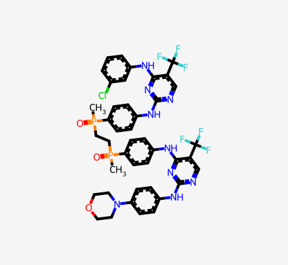 CP(=O)(CCP(C)(=O)c1ccc(Nc2nc(Nc3ccc(N4CCOCC4)cc3)ncc2C(F)(F)F)cc1)c1ccc(Nc2ncc(C(F)(F)F)c(Nc3cccc(Cl)c3)n2)cc1